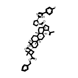 C=C(C)[C@@H]1CC[C@]2(C(=O)N3CCC[C@H]3c3ncc(-c4ccc(F)cc4)[nH]3)CC[C@]3(C)[C@H](CC[C@@H]4[C@]5(C)CC[C@H](C6(C(=O)O)CC(C(=O)OCc7ccccc7)C6(C)C)C(C)(C)[C@H]5CC[C@]43C)[C@@H]12